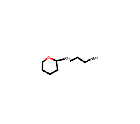 CNCCC[SiH2]C1CCCCO1